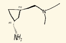 CN(C)C[C@@H]1C[C@H]1N